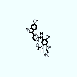 COc1ccc2c(-c3ccnc(Nc4cc(NC(C)=O)c(N(C)CCN(C)C)cc4OC)n3)cn(C)c2c1